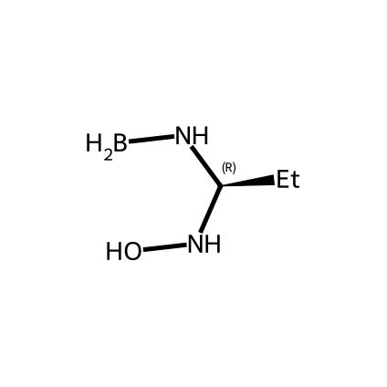 BN[C@@H](CC)NO